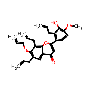 C=CCOc1c(CC=C)cc2c(=O)cc(-c3ccc(OC)c(O)c3CC=C)oc2c1CC=C